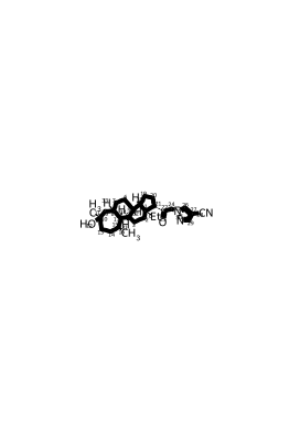 CC[C@]12CC[C@H]3[C@@H](CC[C@@H]4C[C@](C)(O)CC[C@H](C)[C@@H]43)[C@@H]1CC[C@@H]2C(=O)Cn1cc(C#N)cn1